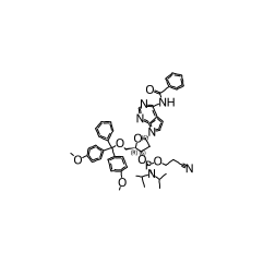 COc1ccc(C(OC[C@H]2O[C@H](n3ccc4c(NC(=O)c5ccccc5)ncnc43)C[C@@H]2OP(OCCC#N)N(C(C)C)C(C)C)(c2ccccc2)c2ccc(OC)cc2)cc1